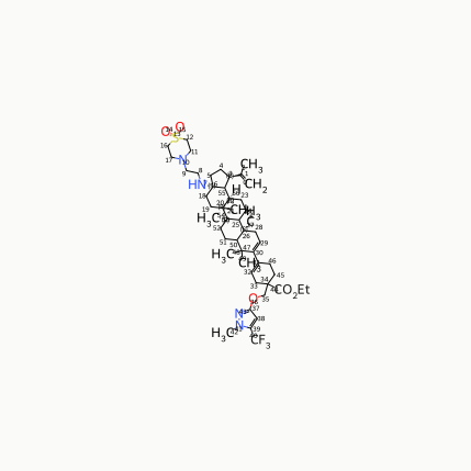 C=C(C)[C@@H]1CC[C@]2(NCCN3CCS(=O)(=O)CC3)CC[C@]3(C)[C@H](CCC4[C@@]5(C)CC=C(C6=CCC(COc7cc(C(F)(F)F)n(C)n7)(C(=O)OCC)CC6)C(C)(C)C5CC[C@]43C)C12